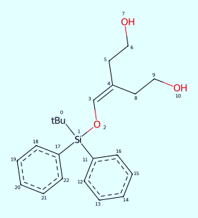 CC(C)(C)[Si](OC=C(CCO)CCO)(c1ccccc1)c1ccccc1